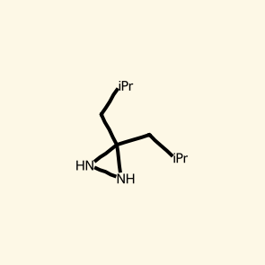 CC(C)CC1(CC(C)C)NN1